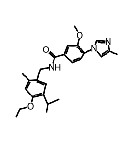 CCOc1cc(C)c(CNC(=O)c2ccc(-n3cnc(C)c3)c(OC)c2)cc1C(C)C